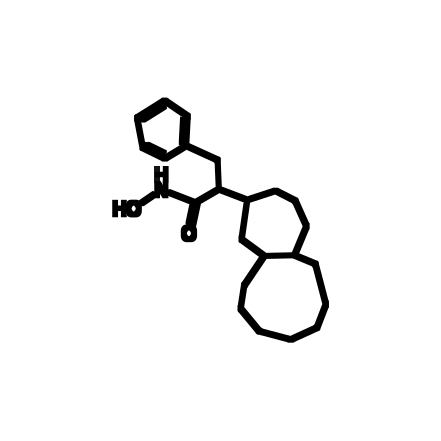 O=C(NO)C(Cc1ccccc1)C1CCCC2CCCCCCCC2C1